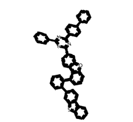 c1ccc(-c2ccc(-c3nc(-c4ccccc4)nc(-c4ccc5c(c4)oc4cccc(-c6ccccc6-c6ccc7c(c6)sc6ccccc67)c45)n3)cc2)cc1